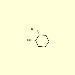 O=C(O)[C@@H]1CCCC[C@@H]1O